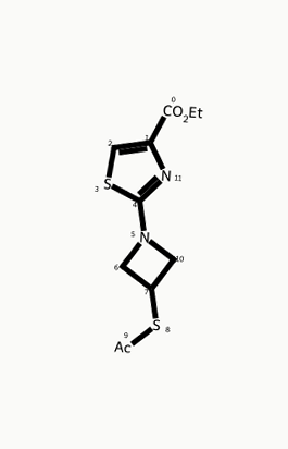 CCOC(=O)c1csc(N2CC(SC(C)=O)C2)n1